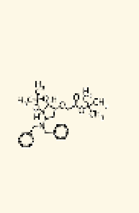 CC(C)(C)OC(=O)CO[C@H]1C[C@@H](N(Cc2ccccc2)Cc2ccccc2)[C@H]2OC(C)(C)O[C@H]21